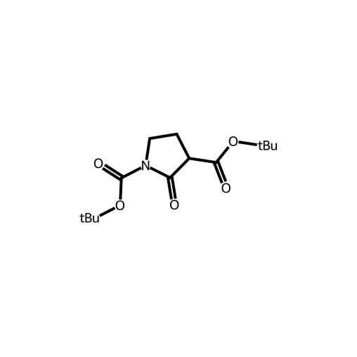 CC(C)(C)OC(=O)C1CCN(C(=O)OC(C)(C)C)C1=O